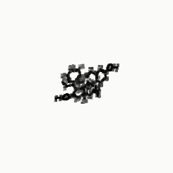 CCC[C@H]1[C@H]2[C@H]3[C@@H](c4ccc(O)cc4C[C@H]3c3ccccc3)[C@@H](F)C[C@]2(C)C[C@@H]1O